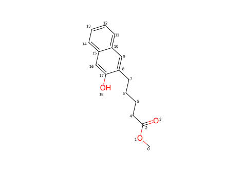 COC(=O)CCCCc1cc2ccccc2cc1O